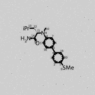 CSc1ccc(-c2ccc(N(C)[C@@H](CC(C)C)C(N)=O)cc2)cc1